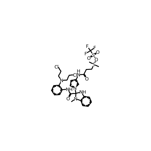 CN1c2ccccc2NC1(C(=O)Nc1ccccc1N(CCCl)CCCl)n1ccc(NC(=O)CCS(C)(C)OS(=O)(=O)C(F)(F)F)c1